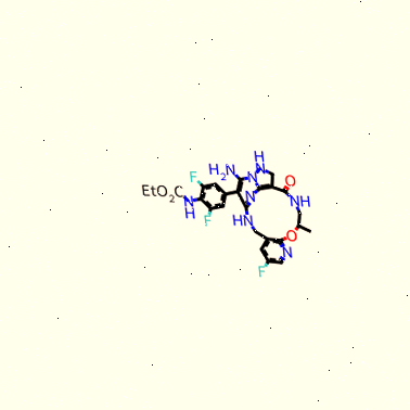 CCOC(=O)Nc1c(F)cc(C2=C(N)N3NCC4=C3N=C2NCc2cc(F)cnc2OC(C)CNC4=O)cc1F